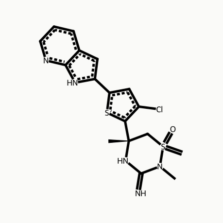 C=S1(=O)C[C@@](C)(c2sc(-c3cc4cccnc4[nH]3)cc2Cl)NC(=N)N1C